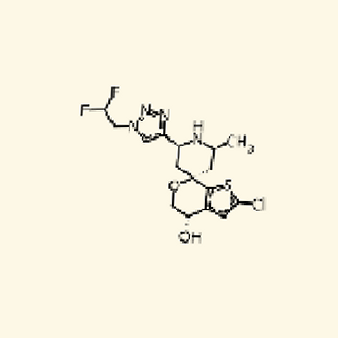 C[C@H]1C[C@@]2(C[C@@H](c3cn(CC(F)F)nn3)N1)OC[C@@H](O)c1cc(Cl)sc12